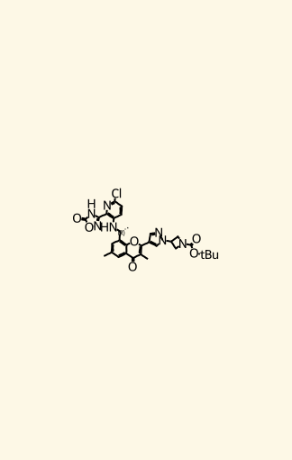 Cc1cc([C@@H](C)Nc2ccc(Cl)nc2-c2noc(=O)[nH]2)c2oc(-c3cnn(C4CN(C(=O)OC(C)(C)C)C4)c3)c(C)c(=O)c2c1